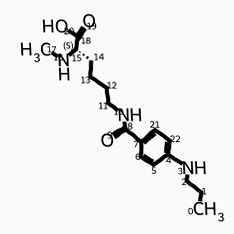 CCCNc1ccc(C(=O)NCCCC[C@H](NC)C(=O)O)cc1